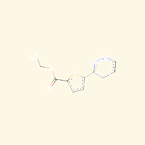 CCOC(=O)c1ccc(-c2cccnn2)s1